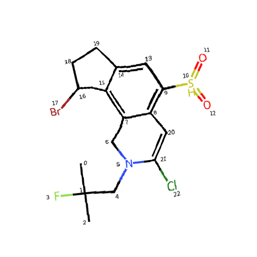 CC(C)(F)CN1Cc2c(c([SH](=O)=O)cc3c2C(Br)CC3)C=C1Cl